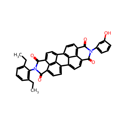 CCc1cccc(CC)c1N1C(=O)c2ccc3c4ccc5c6c(ccc(c7ccc(c2c37)C1=O)c64)C(=O)N(c1cccc(O)c1)C5=O